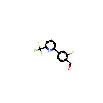 O=Cc1ccc(-c2cccc(C(F)(F)F)n2)cc1F